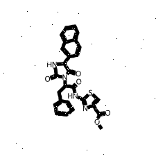 COC(=O)c1csc(NC(=O)C(Cc2ccccc2)N2C(=O)NC(c3ccc4ccccc4c3)C2=O)n1